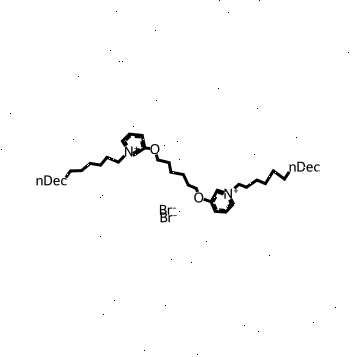 CCCCCCCCCCCCCCCC[n+]1cccc(OCCCCCCOc2ccc[n+](CCCCCCCCCCCCCCCC)c2)c1.[Br-].[Br-]